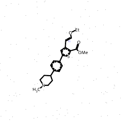 CCO/C=C/c1cc(-c2ccc(C3CCN(C)CC3)cc2)sc1C(=O)OC